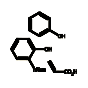 C=CC(=O)O.CCCCCCCCCc1ccccc1O.Oc1ccccc1